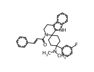 CN(C)C1(c2cccc(F)c2)CCC2(CC1)c1[nH]c3ccccc3c1CCN2C(=O)C=Cc1ccccc1